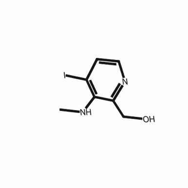 CNc1c(I)ccnc1CO